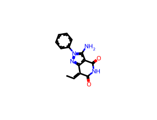 C/C=C1/C(=O)NC(=O)c2c1nn(-c1ccccc1)c2N